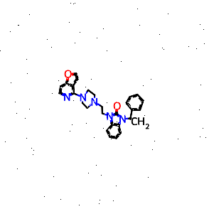 C=C(c1ccccc1)n1c(=O)n(CCN2CCN(c3nccc4occc34)CC2)c2ccccc21